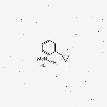 CNC.Cl.c1ccc(C2CC2)cc1